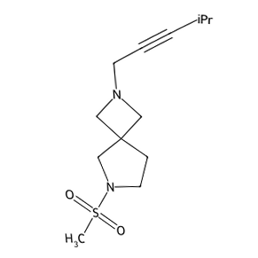 CC(C)C#CCN1CC2(CCN(S(C)(=O)=O)C2)C1